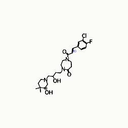 CC1(C)CCN(CC(O)CCN2CCN(C(=O)/C=C/c3ccc(F)c(Cl)c3)CCC2=O)C[C@@H]1O